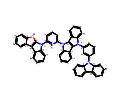 c1cc(-n2c3ccccc3c3ccccc32)cc(-n2c3ccccc3c3c2c2ccccc2n3-c2cccc(-n3c4ccccc4c4c5ccccc5oc43)n2)c1